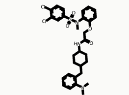 CN(C)c1ccccc1CC1CCC(NC(=O)COc2ccccc2N(C)S(=O)(=O)c2ccc(Cl)c(Cl)c2)CC1